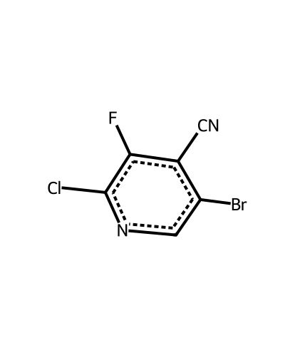 N#Cc1c(Br)cnc(Cl)c1F